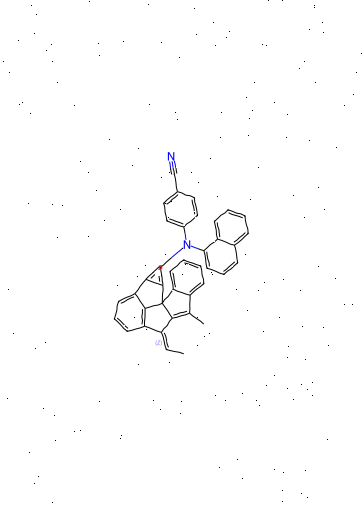 C/C=C1\C2=C(C)c3ccccc3C23c2cc(N(c4ccc(C#N)cc4)c4cccc5ccccc45)ccc2-c2cccc1c23